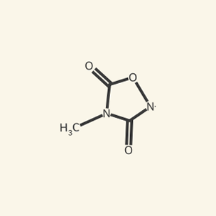 CN1C(=O)[N]OC1=O